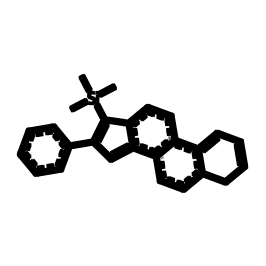 C[Si](C)(C)C1=C(c2ccccc2)C=c2c1ccc1c3c(ccc21)CC=CC=3